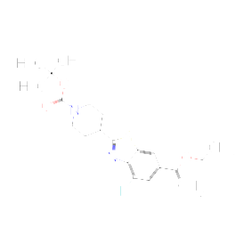 C=C(OCC)c1cc(F)c2nc(C3CCN(C(=O)OC(C)(C)C)CC3)sc2c1